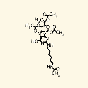 CC(=O)NCCCCCCNc1nc(O)c2ncn([C@@H](OC(C)=O)O[C@H](COC(C)=O)[C@@H](C)OC(C)=O)c2n1